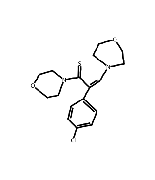 S=C(C(=CN1CCOCC1)c1ccc(Cl)cc1)N1CCOCC1